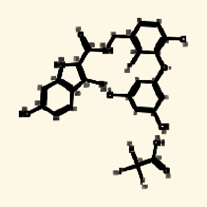 N#Cc1cc(Cl)cc(Oc2c(Cl)ccc(CNC(=O)c3[nH]c4cc(O)ccc4c3Br)c2F)c1.O=C(O)C(F)(F)F